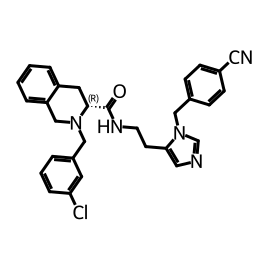 N#Cc1ccc(Cn2cncc2CCNC(=O)[C@H]2Cc3ccccc3CN2Cc2cccc(Cl)c2)cc1